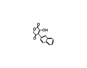 O=C1COC(=O)C(O)=C1c1ccc2ccccc2c1